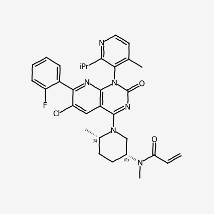 C=CC(=O)N(C)[C@@H]1CC[C@H](C)N(c2nc(=O)n(-c3c(C)ccnc3C(C)C)c3nc(-c4ccccc4F)c(Cl)cc23)C1